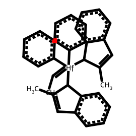 C[CH]=[Hf]([c]1ccccc1)([c]1ccccc1)([CH]1C(C)=Cc2ccccc21)[CH]1C(C)=Cc2ccccc21